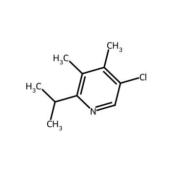 Cc1c(Cl)cnc(C(C)C)c1C